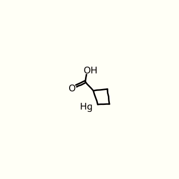 O=C(O)C1CCC1.[Hg]